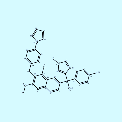 COc1nc2ccc(C(O)(c3ccc(F)cc3)c3cn(C)cn3)cc2c(Cl)c1Cc1ccc(-n2cccc2)cc1